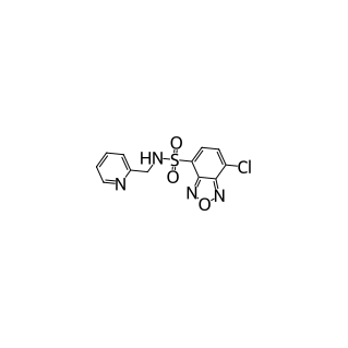 O=S(=O)(NCc1ccccn1)c1ccc(Cl)c2nonc12